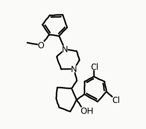 COc1ccccc1N1CCN(CC2CCCCC2(O)c2cc(Cl)cc(Cl)c2)CC1